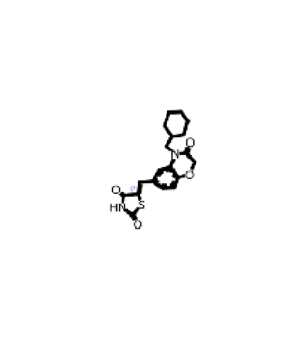 O=C1NC(=O)/C(=C/c2ccc3c(c2)N(CC2CCCCC2)C(=O)CO3)S1